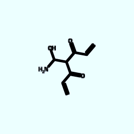 C=CC(=O)C(C(=O)C=C)C(N)O